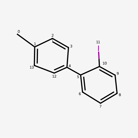 Cc1[c]cc(-c2ccccc2I)cc1